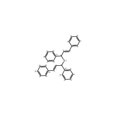 C(=C\C(SC(/C=C/c1ccccc1)c1ccccc1)c1ccccc1)/c1ccccc1